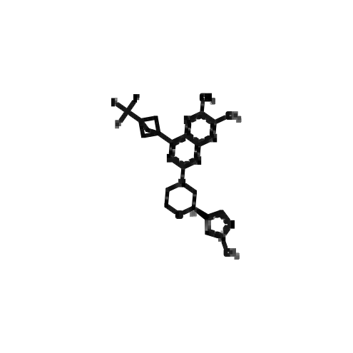 Cc1nc2nc(N3CCO[C@H](c4cnn(C)c4)C3)nc(C34CC(C(F)(F)F)(C3)C4)c2nc1C